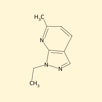 CCn1ncc2ccc(C)nc21